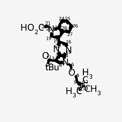 CC(C)(C)C(=O)c1cn(COCC[Si](C)(C)C)c2ncc(-c3cn(CC(=O)O)c4ccccc34)nc12